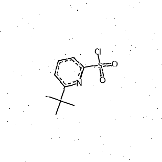 CC(C)(C)c1cccc(S(=O)(=O)Cl)n1